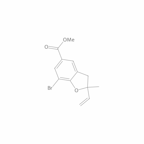 C=CC1(C)Cc2cc(C(=O)OC)cc(Br)c2O1